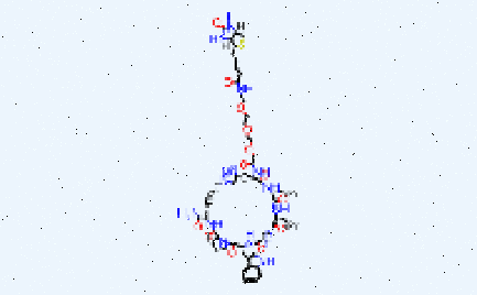 CC(C)C[C@@H]1NC(=O)[C@H](CC(C)C)NC(=O)[C@@H](NC(=O)COCCOCCOCCNC(=O)CCCC[C@@H]2SC[C@@H]3NC(=O)N[C@@H]32)Cc2cn(nn2)CCCC[C@@H](C(N)=O)NC(=O)[C@@H]2CCCN2C(=O)[C@H](Cc2c[nH]c3ccccc23)NC(=O)CNC1=O